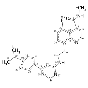 CNC(=O)c1ccnc2c(CCNc3cc(-c4ccc(C(C)C)nc4)ncn3)ccc(F)c12